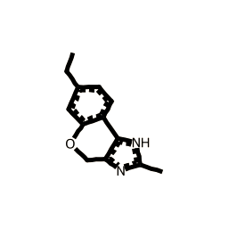 CCc1ccc2c(c1)OCc1nc(C)[nH]c1-2